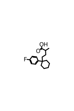 CC(CCC1(c2ccc(F)cc2)CCCCC1)C(=O)O